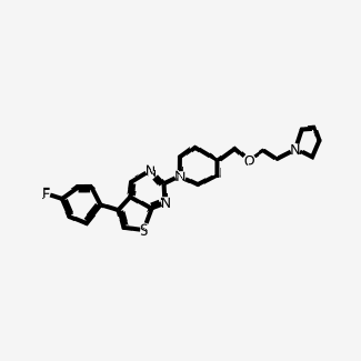 Fc1ccc(-c2csc3nc(N4CCC(COCCN5CCCC5)CC4)ncc23)cc1